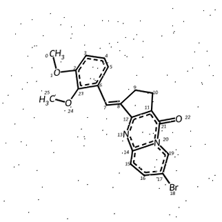 COc1cccc(C=C2CCc3c2nc2ccc(Br)cn2c3=O)c1OC